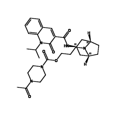 CC(=O)N1CCN(C(=O)OCCCN2[C@@H]3CC[C@H]2C[C@H](NC(=O)c2cc4ccccc4n(C(C)C)c2=O)C3)CC1